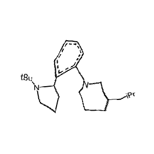 CC(C)C1CCCN(c2ccccc2C2CCCN2C(C)(C)C)C1